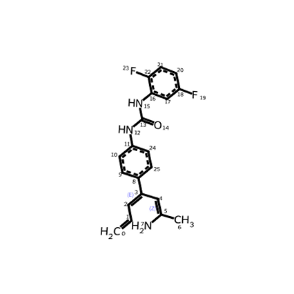 C=C/C=C(\C=C(\C)N)c1ccc(NC(=O)Nc2cc(F)ccc2F)cc1